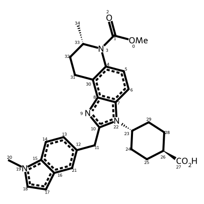 COC(=O)N1c2ccc3c(nc(Cc4ccc5c(ccn5C)c4)n3[C@H]3CC[C@H](C(=O)O)CC3)c2CC[C@@H]1C